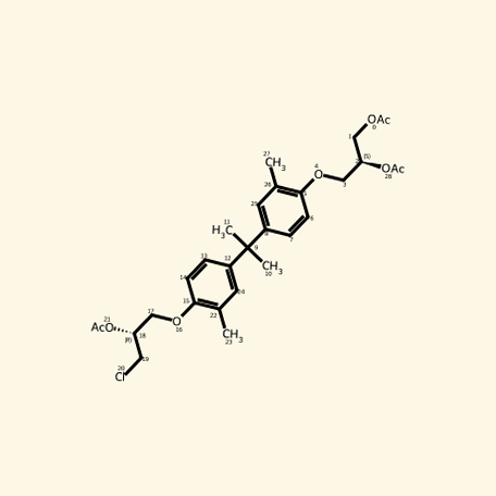 CC(=O)OC[C@H](COc1ccc(C(C)(C)c2ccc(OC[C@H](CCl)OC(C)=O)c(C)c2)cc1C)OC(C)=O